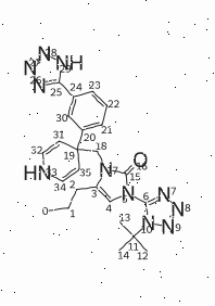 CCCc1cn(-c2nnnn2C(C)(C)C)c(=O)n1CC1(c2cccc(-c3nnn[nH]3)c2)C=CNC=C1